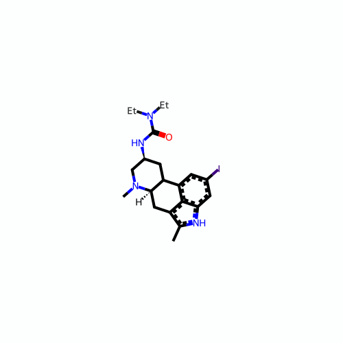 CCN(CC)C(=O)N[C@H]1CC2c3cc(I)cc4[nH]c(C)c(c34)C[C@H]2N(C)C1